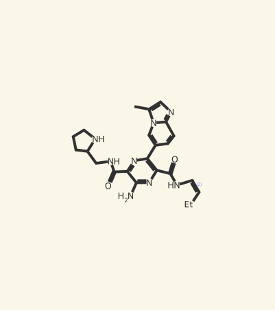 CC/C=C\NC(=O)c1nc(N)c(C(=O)NCC2CCCN2)nc1-c1ccc2ncc(C)n2c1